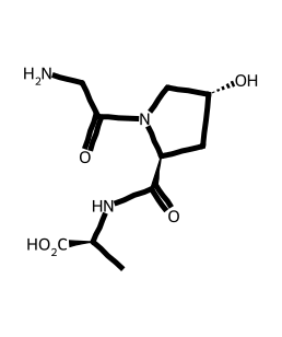 C[C@H](NC(=O)[C@@H]1C[C@@H](O)CN1C(=O)CN)C(=O)O